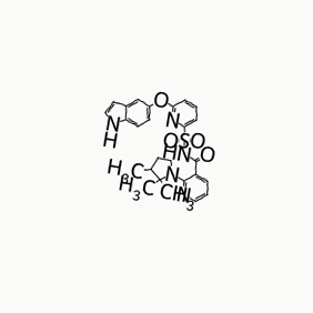 CC1CCN(c2ncccc2C(=O)NS(=O)(=O)c2cccc(Oc3ccc4[nH]ccc4c3)n2)C1(C)C